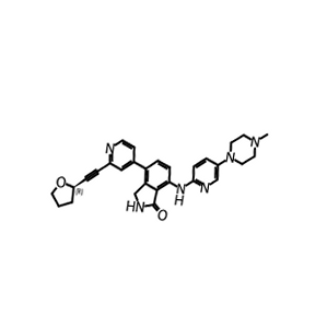 CN1CCN(c2ccc(Nc3ccc(-c4ccnc(C#C[C@H]5CCCO5)c4)c4c3C(=O)NC4)nc2)CC1